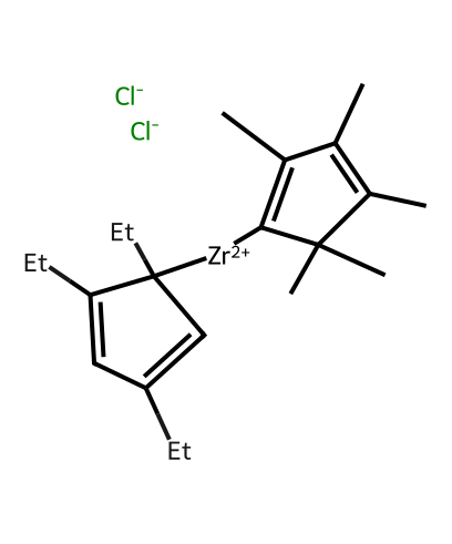 CCC1=C[C](CC)([Zr+2][C]2=C(C)C(C)=C(C)C2(C)C)C(CC)=C1.[Cl-].[Cl-]